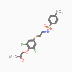 COC(=O)COc1c(F)cc(SCCNS(=O)(=O)c2ccc([N+](=O)[O-])cc2)cc1F